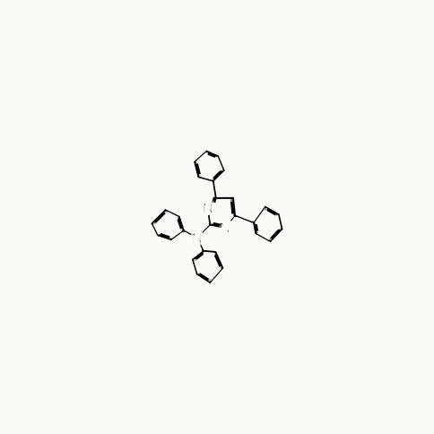 c1ccc(-c2cc(-c3ccccc3)nc(N(c3ccccc3)c3ccccc3)n2)cc1